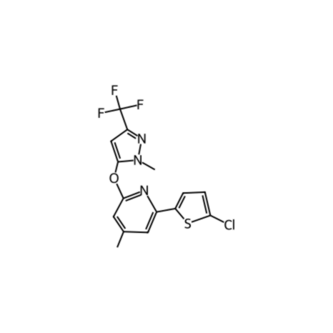 Cc1cc(Oc2cc(C(F)(F)F)nn2C)nc(-c2ccc(Cl)s2)c1